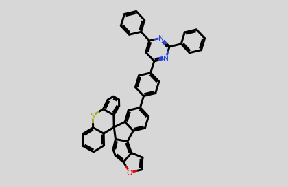 c1ccc(-c2cc(-c3ccc(-c4ccc5c(c4)C4(c6ccccc6Sc6ccccc64)c4ccc6occc6c4-5)cc3)nc(-c3ccccc3)n2)cc1